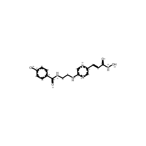 O=C(/C=C/c1cnc(NCCNC(=O)c2ccc(Cl)cc2)cn1)NO